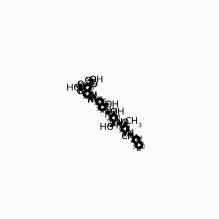 COc1cc(N=Nc2ccc3ccccc3c2)c(C)cc1N=Nc1cc(O)c(N=Nc2ccc3cc(-n4nc5ccc6c(S(=O)(=O)O)cc(S(=O)(=O)O)cc6c5n4)ccc3c2O)cc1CO